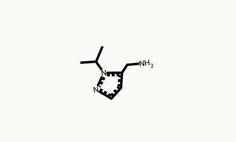 CC(C)n1nccc1CN